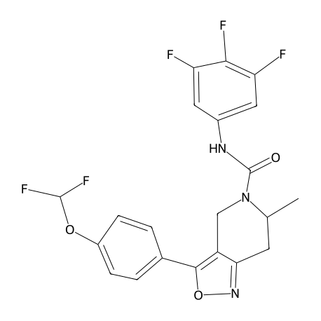 CC1Cc2noc(-c3ccc(OC(F)F)cc3)c2CN1C(=O)Nc1cc(F)c(F)c(F)c1